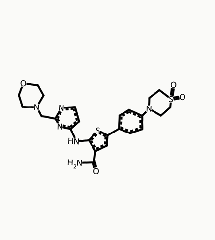 NC(=O)c1cc(-c2ccc(N3CCS(=O)(=O)CC3)cc2)sc1Nc1ccnc(CN2CCOCC2)n1